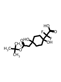 CC(C)(C)OC(=O)CC1(O)CCC(O)(C(F)(F)C(=O)O)CC1